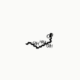 CC/C=C\C[C@@H](O)/C=C/C=C\C=C\C=C\[C@@H](O)[C@@H](O)C/C=C\CCC(=O)OC